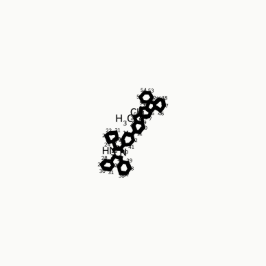 CC1(C)C2CC3=C(C=C2C2C=CC(C4=CC=C(C5=C(c6ccccc6)NC(C6C=CC=CC6)C(c6ccccc6)=N5)CC4)=CC21)c1ccccc1C31CCCCC1